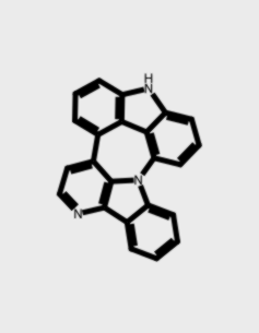 c1cc2[nH]c3cccc4c3c2c(c1)c1ccnc2c3ccccc3n4c12